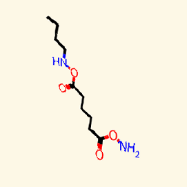 CCCCNOC(=O)CCCCC(=O)ON